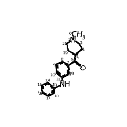 CN1CCC(C(=O)c2cccc(Nc3ccccc3)c2)CC1